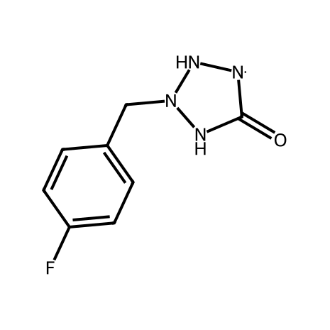 O=C1[N]NN(Cc2ccc(F)cc2)N1